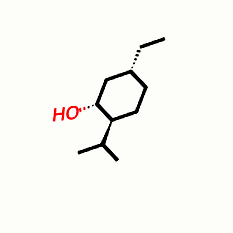 CC[C@@H]1CC[C@@H](C(C)C)[C@H](O)C1